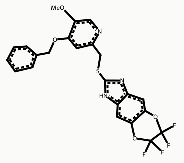 COc1cnc(CSc2nc3cc4c(cc3[nH]2)OC(F)(F)C(F)(F)O4)cc1OCc1ccccc1